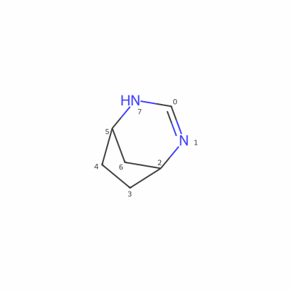 C1=NC2CCC(C2)N1